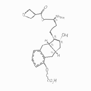 CCCCC[C@@H](CC[C@@H]1[C@H]2Cc3cccc(OCC(=O)O)c3C[C@H]2C[C@H]1O)OC(=O)C1COC1